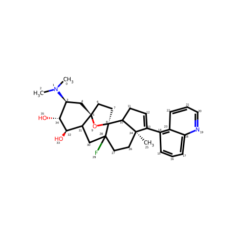 CN(C)[C@H]1C[C@@]23CC[C@]4(O2)C2CC=C(c5cccc6ncccc56)[C@@]2(C)CCC4(F)CC3[C@@H](O)[C@@H]1O